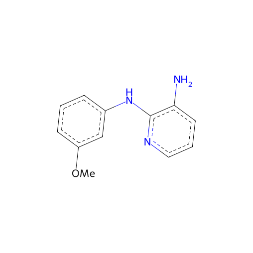 COc1cccc(Nc2ncccc2N)c1